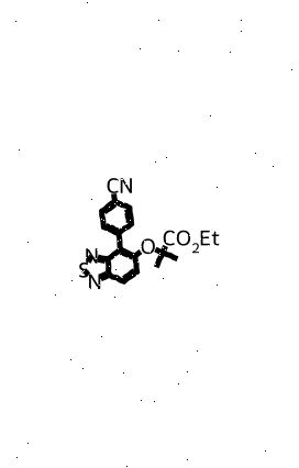 CCOC(=O)C(C)(C)Oc1ccc2nsnc2c1-c1ccc(C#N)cc1